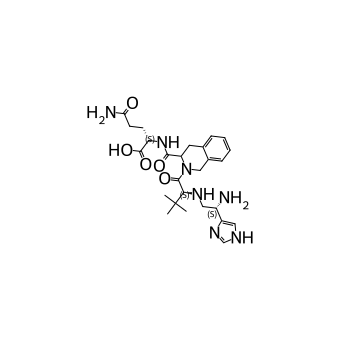 CC(C)(C)[C@H](NC[C@H](N)c1c[nH]cn1)C(=O)N1Cc2ccccc2CC1C(=O)N[C@@H](CCC(N)=O)C(=O)O